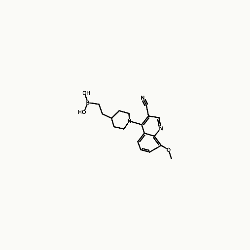 COc1cccc2c(N3CCC(CCB(O)O)CC3)c(C#N)cnc12